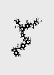 Cn1cc(-c2nc3c(-c4ccc(CNc5cc(C(F)(F)F)on5)c(F)c4)cc(-n4cc(-c5nc6c(-c7ccc(CNc8n[nH]c9ccc(Cl)cc89)c(F)c7)ccnc6[nH]5)cn4)nc3[nH]2)cn1